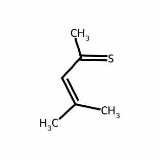 CC(=S)C=C(C)C